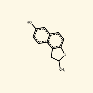 CC1Cc2c(ccc3cc(O)ccc23)O1